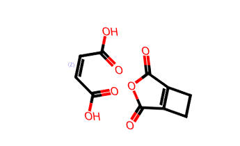 O=C(O)/C=C\C(=O)O.O=C1OC(=O)C2=C1CC2